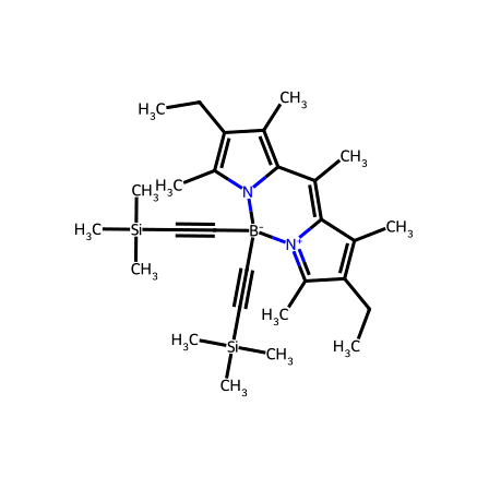 CCC1=C(C)C2=C(C)c3c(C)c(CC)c(C)n3[B-](C#C[Si](C)(C)C)(C#C[Si](C)(C)C)[N+]2=C1C